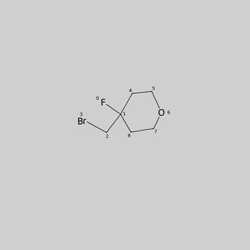 FC1(CBr)CCOCC1